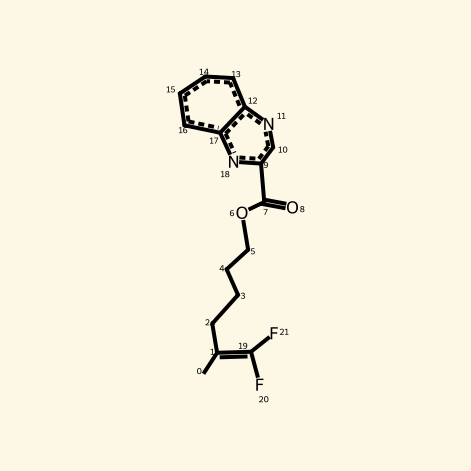 CC(CCCCOC(=O)c1cnc2ccccc2n1)=C(F)F